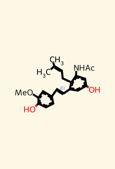 COc1cc(/C=C/c2cc(O)cc(NC(C)=O)c2CC=C(C)C)ccc1O